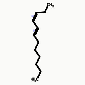 [CH2]CCCCC/C=C/C=C\CC